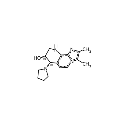 Cc1nc2c3c(ccn2c1C)[C@@H](N1CCCC1)[C@@H](O)CN3